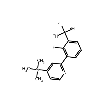 [2H]C([2H])([2H])c1cccc(-c2cc([Si](C)(C)C)ccn2)c1F